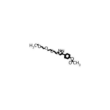 CCOCCOCCOCCn1cc(-c2ccc(OC(C)=O)cc2)nn1